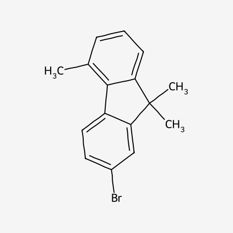 Cc1cccc2c1-c1ccc(Br)cc1C2(C)C